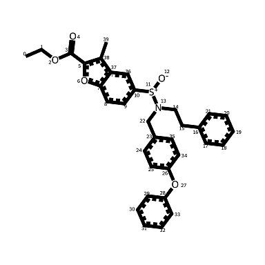 CCOC(=O)c1oc2ccc([S+]([O-])N(CCc3ccccc3)Cc3ccc(Oc4ccccc4)cc3)cc2c1C